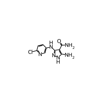 NC(=O)c1c(Nc2ccc(Cl)nc2)n[nH]c1N